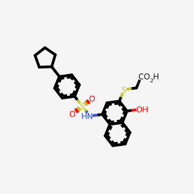 O=C(O)CSc1cc(NS(=O)(=O)c2ccc(C3CCCC3)cc2)c2ccccc2c1O